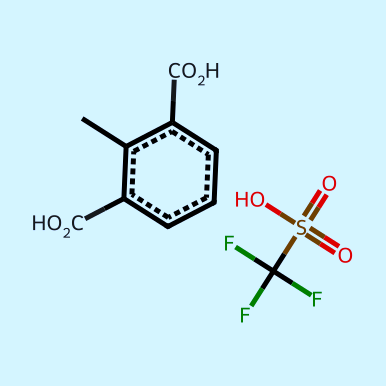 Cc1c(C(=O)O)cccc1C(=O)O.O=S(=O)(O)C(F)(F)F